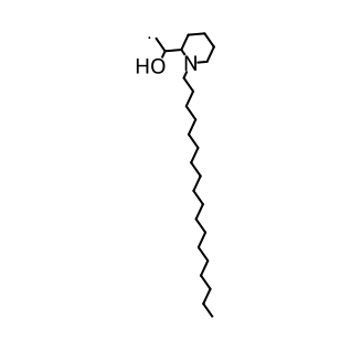 [CH2]C(O)C1CCCCN1CCCCCCCCCCCCCCCCCC